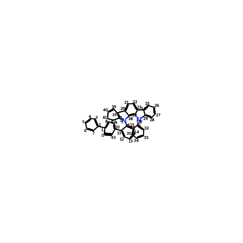 c1c(-c2ccccc2)ccc(-c2ccccc2-n2c3c(c4ccc5c6ccccc6n(-c6ccccc6)c5c42)C=CCC3)c#1